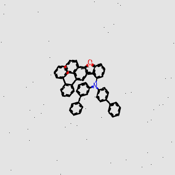 c1ccc(-c2ccc(N(c3cccc(-c4ccccc4)c3)c3cccc4oc5c6ccccc6c(-c6ccccc6-c6ccccc6)cc5c34)cc2)cc1